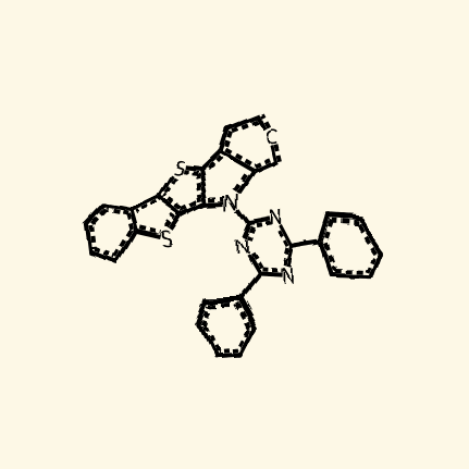 c1ccc(-c2nc(-c3ccccc3)nc(-n3c4ccccc4c4sc5c6ccccc6sc5c43)n2)cc1